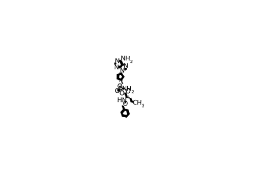 CCC[C@H](NOCc1ccccc1)C(=O)OP(N)(=O)OC[C@H]1C=C[C@@H](n2cnc3c(N)ncnc32)C1